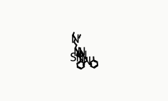 CCN(CC)CCCn1nnn(-c2ccccc2N(C)c2ccccc2C)c1=S